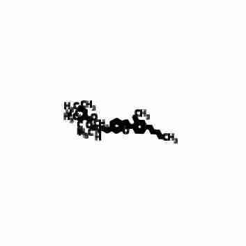 CCCCCc1ccc(-c2cc3ccc(CCNC(C)(C)OC(=O)C(CC(C)(C)C)C(C)C)cc3o2)c(CC)c1